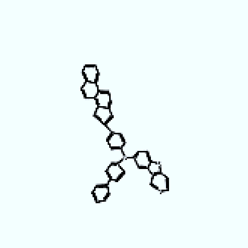 c1ccc(-c2ccc(N(c3ccc(-c4ccc5c(ccc6c7ccccc7ccc56)c4)cc3)c3ccc4sc5ccncc5c4c3)cc2)cc1